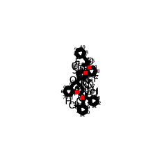 CSC1=NC=N[N+]1(CC1(c2ccccc2Cl)OC1c1ccccc1Cl)C1(S)N=CN(c2nc(SC)n(CC3(c4ccc(F)cc4)OC3c3ccccc3F)n2)N1CC1(c2ccc(F)cc2)OC1c1ccccc1F